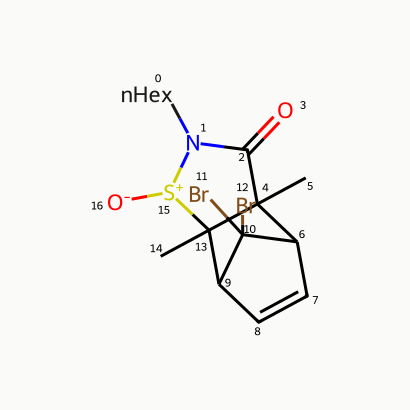 CCCCCCN1C(=O)C2(C)C3C=CC(C3(Br)Br)C2(C)[S+]1[O-]